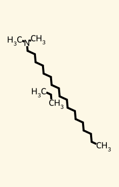 CCC.CCCCCCCCCCCCCCCCCCN(C)C